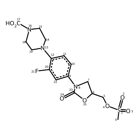 CS(=O)(=O)OCC1CN(c2ccc(N3CCN(C(=O)O)CC3)c(F)c2)C(=O)O1